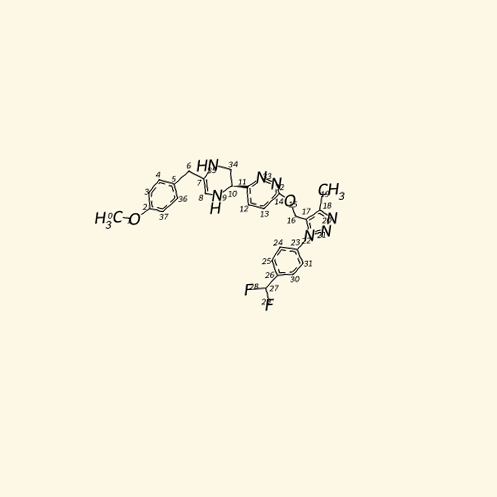 COc1ccc(CC2=CN[C@H](c3ccc(OCc4c(C)nnn4-c4ccc(C(F)F)cc4)nn3)CN2)cc1